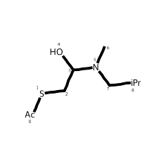 CC(=O)SCC(O)N(C)CC(C)C